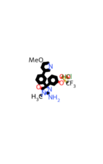 COc1cncc(-c2cccc(C3(c4cccc(OS(=O)(=O)C(F)(F)F)c4)N=C(N)N(C)C3=O)c2)c1.Cl